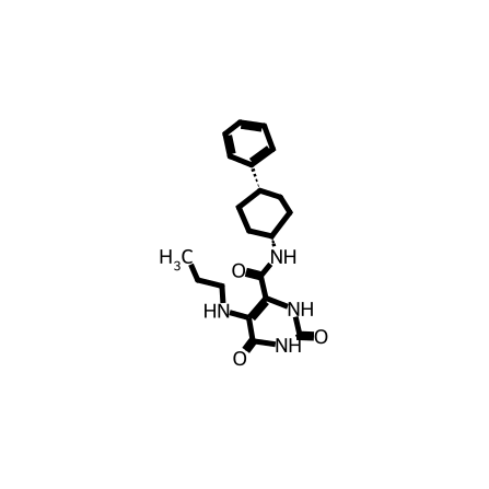 CCCNc1c(C(=O)N[C@H]2CC[C@@H](c3ccccc3)CC2)[nH]c(=O)[nH]c1=O